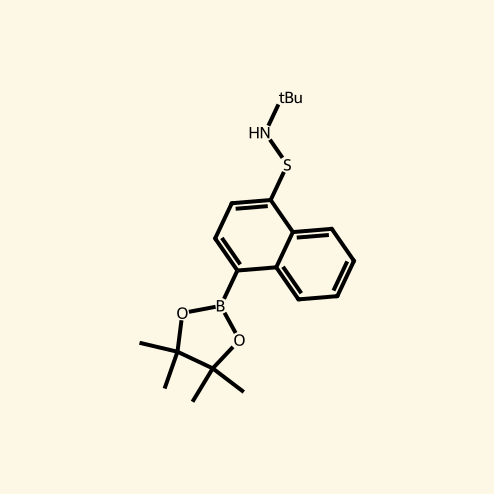 CC(C)(C)NSc1ccc(B2OC(C)(C)C(C)(C)O2)c2ccccc12